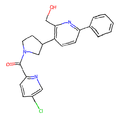 O=C(c1ccc(Cl)cn1)N1CCC(c2ccc(-c3ccccc3)nc2CO)C1